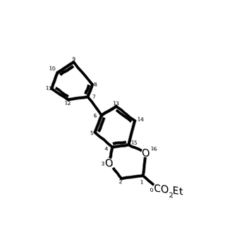 CCOC(=O)C1COc2cc(-c3ccccc3)ccc2O1